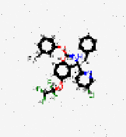 O=C(N[C@](Cc1ccccc1)(c1cccc(OC(F)(F)C(F)F)c1)c1ccc(Cl)cn1)Oc1cccc(C(F)(F)F)c1